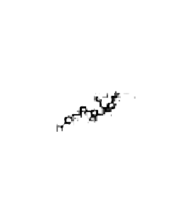 COCCn1c(Cc2ccc(-c3cccc(OCc4ccc(C#N)cc4F)n3)c3c2COC3)nc2ccc(C(=O)OC)cc21